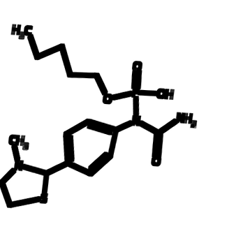 CCCCCOP(=O)(O)N(C(N)=O)c1ccc(C2SCCN2C)cc1